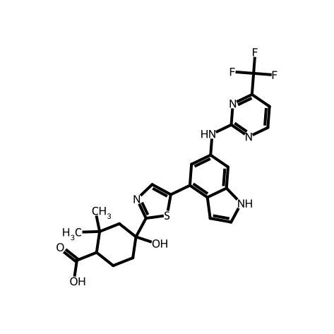 CC1(C)CC(O)(c2ncc(-c3cc(Nc4nccc(C(F)(F)F)n4)cc4[nH]ccc34)s2)CCC1C(=O)O